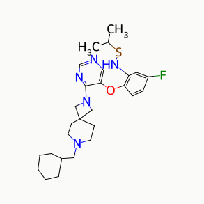 CC(C)SNc1cc(F)ccc1Oc1cncnc1N1CC2(CCN(CC3CCCCC3)CC2)C1